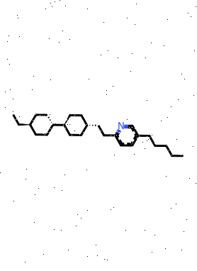 CCCCCc1ccc(CC[C@H]2CC[C@H]([C@H]3CC[C@H](CC)CC3)CC2)nc1